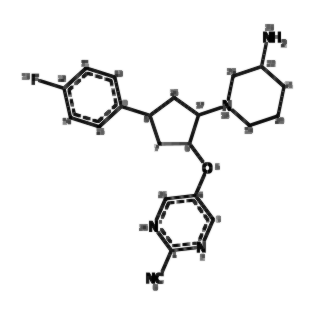 N#Cc1ncc(OC2CC(c3ccc(F)cc3)CC2N2CCCC(N)C2)cn1